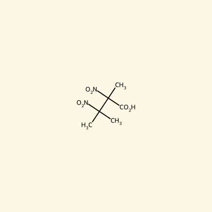 CC(C)([N+](=O)[O-])C(C)(C(=O)O)[N+](=O)[O-]